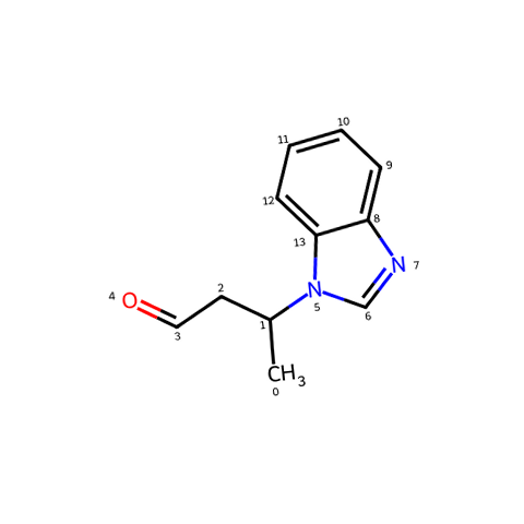 CC(CC=O)n1cnc2ccccc21